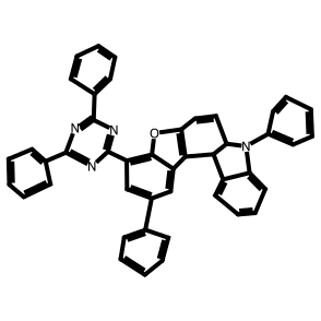 C1=CC2C(c3ccccc3N2c2ccccc2)c2c1oc1c(-c3nc(-c4ccccc4)nc(-c4ccccc4)n3)cc(-c3ccccc3)cc21